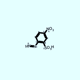 N=Nc1ccc([N+](=O)[O-])cc1S(=O)(=O)O